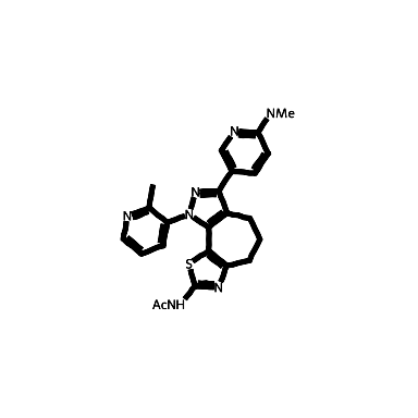 CNc1ccc(-c2nn(-c3cccnc3C)c3c2CCCc2nc(NC(C)=O)sc2-3)cn1